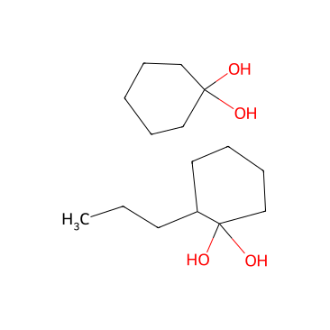 CCCC1CCCCC1(O)O.OC1(O)CCCCC1